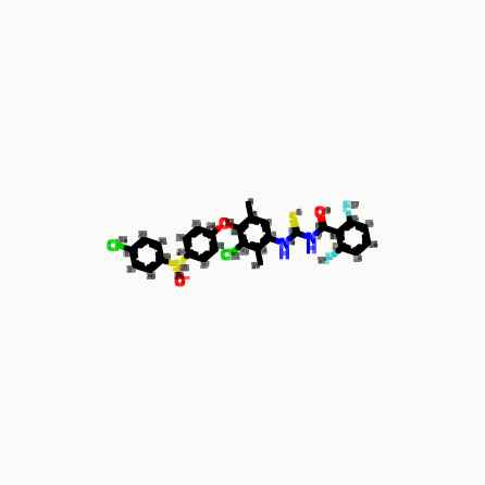 Cc1cc(NC(=S)NC(=O)c2c(F)cccc2F)c(C)c(Cl)c1Oc1ccc([S+]([O-])c2ccc(Cl)cc2)cc1